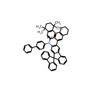 Cc1cc2c(cc1-c1cc3c(cc1N(c1ccc(-c4ccccc4)cc1)c1ccc4c(c1)C(C)(C)CCC4(C)C)C1(c4ccccc4-c4ccccc41)c1ccccc1-3)CCCC2